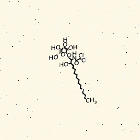 CCCCCCCCCCCCCC=CC(O)C(COC1O[C@H](CO)[C@@H](O)[C@H](O)[C@H]1O)NC(=O)C(Cl)Cl